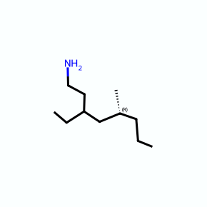 CCC[C@@H](C)CC(CC)CCN